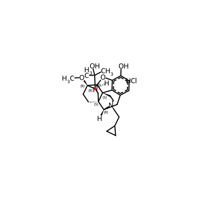 CO[C@]12CC[C@@]3(C[C@@H]1C(C)(C)O)[C@H]1Cc4ccc(O)c5c4[C@@]3(CCN1CC1CC1)[C@H]2O5.Cl